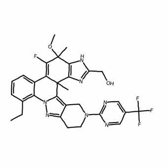 CCc1cccc2c1-n1nc3c(c1C1(C)C2=C(F)C(C)(OC)c2[nH]c(CO)nc21)CN(c1ncc(C(F)(F)F)cn1)CC3